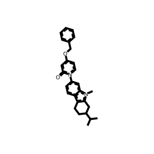 CC(C)C1CCc2c(n(C)c3cc(-n4ccc(OCc5ccccc5)cc4=O)ccc23)C1